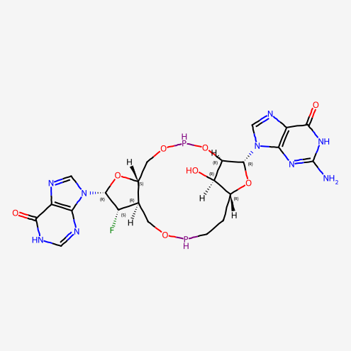 Nc1nc2c(ncn2[C@@H]2O[C@@H]3CCPOC[C@H]4[C@H](F)[C@H](n5cnc6c(=O)[nH]cnc65)O[C@@H]4COPO[C@@H]2[C@@H]3O)c(=O)[nH]1